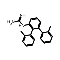 Cc1ccccc1-c1cccc(NC(=N)N)c1-c1ccccc1C